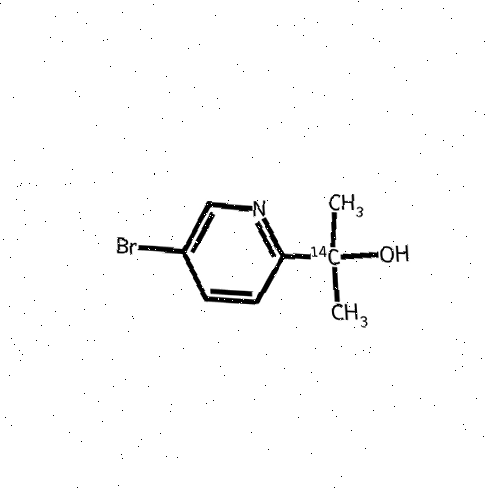 C[14C](C)(O)c1ccc(Br)cn1